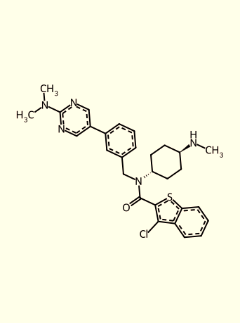 CN[C@H]1CC[C@H](N(Cc2cccc(-c3cnc(N(C)C)nc3)c2)C(=O)c2sc3ccccc3c2Cl)CC1